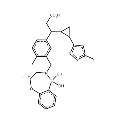 Cc1ccc(C(CC(=O)O)C2CC2c2cn(C)nn2)cc1CN1C[C@@H](C)Oc2ccccc2S1(O)O